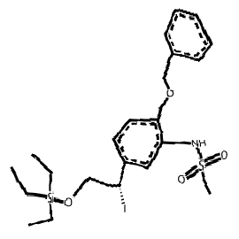 CC[Si](CC)(CC)OC[C@@H](I)c1ccc(OCc2ccccc2)c(NS(C)(=O)=O)c1